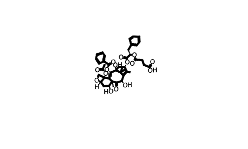 CC(=O)O[C@@]12CO[C@@H]1C[C@H](O)[C@@]1(C)C(=O)[C@H](O)C3=C(C)[C@@H](OC(=O)[C@@H](Cc4ccccc4)OC(=O)CCC(=O)O)C[C@@](O)([C@@H](OC(=O)c4ccccc4)[C@H]21)C3(C)C